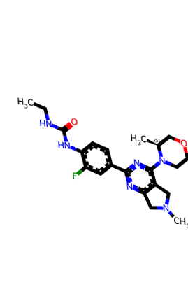 CCNC(=O)Nc1ccc(-c2nc3c(c(N4CCOC[C@@H]4C)n2)CN(C)C3)cc1F